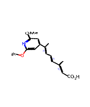 COc1cc(/C(C)=C/C=C/C(C)=C/C(=O)O)cc(OC(C)C)n1